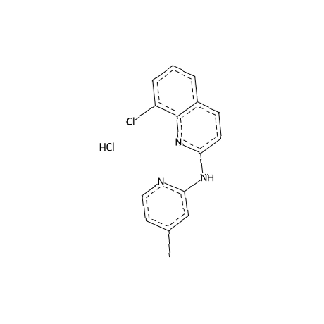 Cc1ccnc(Nc2ccc3cccc(Cl)c3n2)c1.Cl